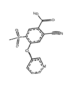 CS(=O)(=O)c1cc(C(=O)O)c(C#N)cc1Oc1cccnc1